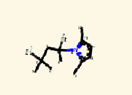 CCC(C)(C)CC(C)(CC)n1c(C)ccc1C